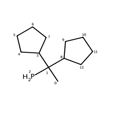 CC(P)(C1CCCC1)C1CCCC1